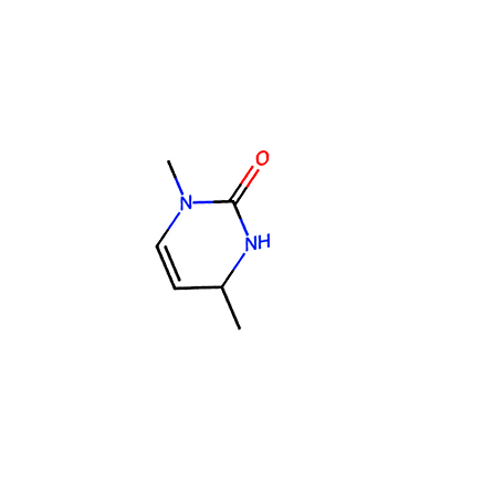 CC1C=CN(C)C(=O)N1